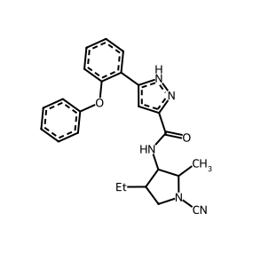 CCC1CN(C#N)C(C)C1NC(=O)c1cc(-c2ccccc2Oc2ccccc2)[nH]n1